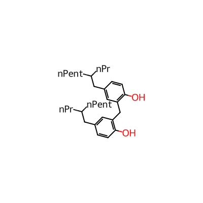 CCCCCC(CCC)Cc1ccc(O)c(Cc2cc(CC(CCC)CCCCC)ccc2O)c1